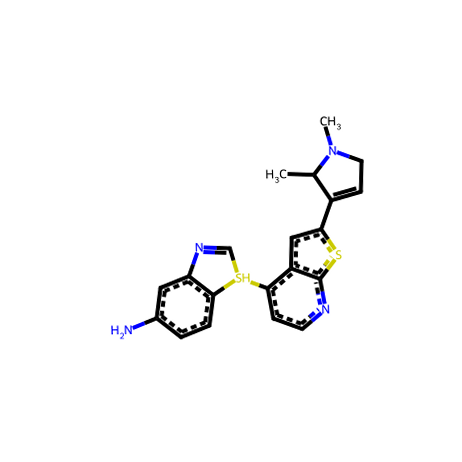 CC1C(c2cc3c([SH]4C=Nc5cc(N)ccc54)ccnc3s2)=CCN1C